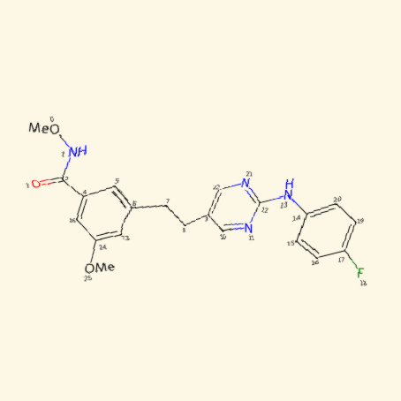 CONC(=O)c1cc(CCc2cnc(Nc3ccc(F)cc3)nc2)cc(OC)c1